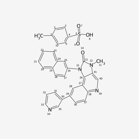 Cc1ccc(S(=O)(=O)O)cc1.Cn1c(=O)n(-c2ccc3ccccc3c2)c2c3cc(-c4cccnc4)ccc3ncc21